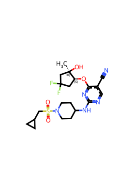 C[C@@]1(O)CC(F)(F)C[C@@H]1Oc1nc(NC2CCN(S(=O)(=O)CC3CC3)CC2)ncc1C#N